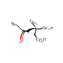 CCOC(=O)C(C)(C)C(=O)C(C)(C)C